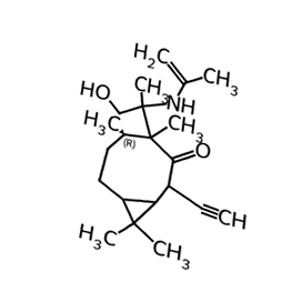 C#CC1C(=O)C(C)(C(C)(CO)NC(=C)C)[C@H](C)CCC2C1C2(C)C